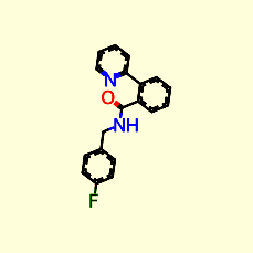 O=C(NCc1ccc(F)cc1)c1ccccc1-c1ccccn1